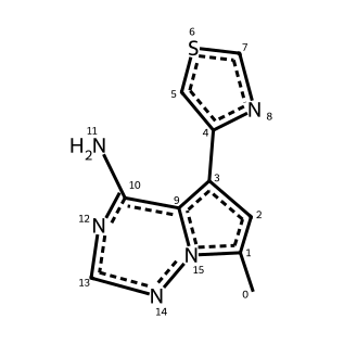 Cc1cc(-c2cscn2)c2c(N)ncnn12